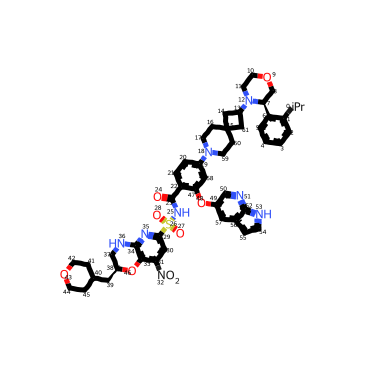 CC(C)c1ccccc1[C@@H]1COCCN1C1CC2(CCN(c3ccc(C(=O)NS(=O)(=O)c4cc([N+](=O)[O-])c5c(n4)NC[C@H](CC4CCOCC4)O5)c(Oc4cnc5[nH]ccc5c4)c3)CC2)C1